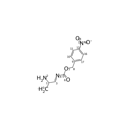 [CH2]C(N)C=NC(=O)OCc1ccc([N+](=O)[O-])cc1